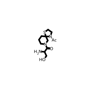 CC(=O)N1CCSC12CCCN(C(=O)C(N)CO)C2